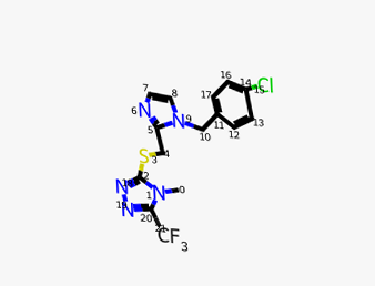 Cn1c(SCc2nccn2Cc2ccc(Cl)cc2)nnc1C(F)(F)F